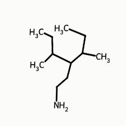 CCC(C)C(CCN)C(C)CC